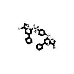 O=S(=O)(Nc1cc(-c2ccccc2)cc2c(Br)cnn12)c1ccc(Nc2cc(-c3ccccc3)nc3c(Br)cnn23)cc1